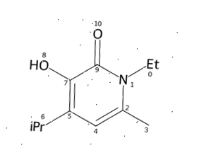 CCn1c(C)cc(C(C)C)c(O)c1=O